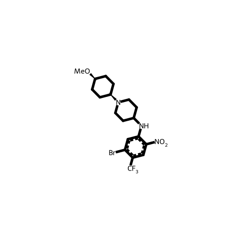 CO[C@H]1CC[C@@H](N2CCC(Nc3cc(Br)c(C(F)(F)F)cc3[N+](=O)[O-])CC2)CC1